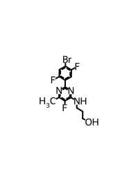 Cc1nc(-c2cc(F)c(Br)cc2F)nc(NCCCO)c1F